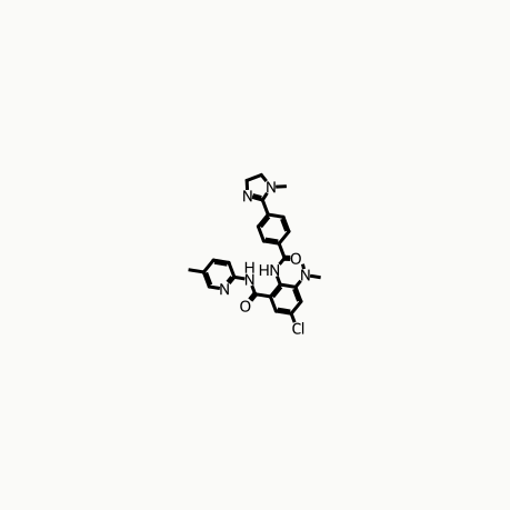 Cc1ccc(NC(=O)c2cc(Cl)cc(N(C)C)c2NC(=O)c2ccc(C3=NCCN3C)cc2)nc1